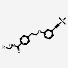 CC(C)CNC(=O)c1ccc(CCOc2cccc(C#C[Si](C)(C)C)c2)cc1